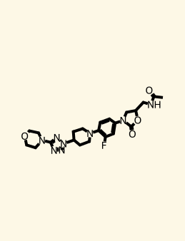 CC(=O)NCC1CN(c2ccc(N3CCC(n4nnc(N5CCOCC5)n4)CC3)c(F)c2)C(=O)O1